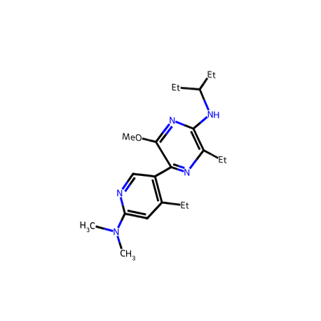 CCc1cc(N(C)C)ncc1-c1nc(CC)c(NC(CC)CC)nc1OC